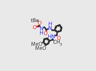 COc1ccc(C(C)NC(=O)c2ccccc2CNC(=O)CNC(=O)OC(C)(C)C)cc1OC